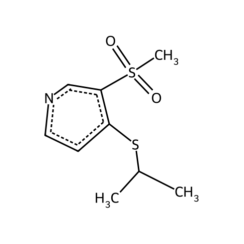 CC(C)Sc1ccncc1S(C)(=O)=O